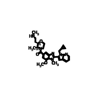 CNCC[C@H]1OCCN(C(=O)c2cc(OC)c3c(c2)nc(-c2cc4cccnc4n2CC2CC2)n3C)[C@H]1C